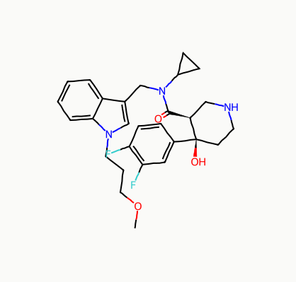 COCCCn1cc(CN(C(=O)[C@H]2CNCC[C@]2(O)c2ccc(F)c(F)c2)C2CC2)c2ccccc21